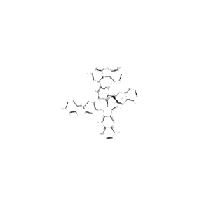 c1ccc2cc(-c3nc(-c4cc5c(cc4-n4c6ccccc6c6cc7ccccc7cc64)oc4ccccc45)nc(-c4cccc5sc6ccccc6c45)n3)ccc2c1